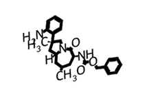 CC1C[C@@H]2C[C@@](C)(c3ccccc3N)CN2C(=O)[C@@H](NC(=O)OCc2ccccc2)C1